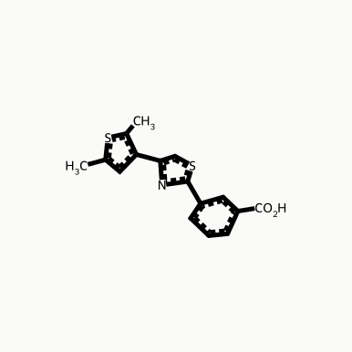 Cc1cc(-c2csc(-c3cccc(C(=O)O)c3)n2)c(C)s1